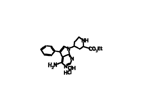 CCOC(=O)C1CC(n2cc(-c3ccccc3)c3c(N)ncnc32)CCN1.Cl.Cl